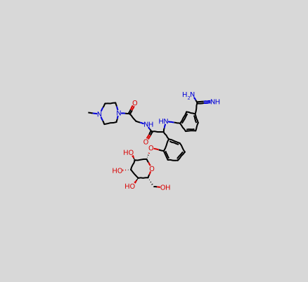 CN1CCN(C(=O)CNC(=O)C(Nc2cccc(C(=N)N)c2)c2ccccc2O[C@@H]2O[C@H](CO)[C@@H](O)[C@H](O)[C@H]2O)CC1